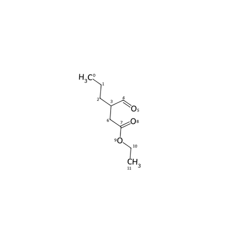 CCCC(C=O)CC(=O)OCC